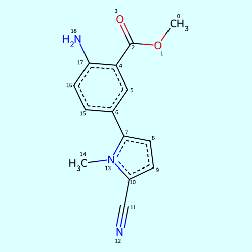 COC(=O)c1cc(-c2ccc(C#N)n2C)ccc1N